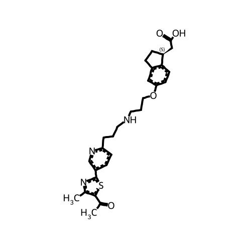 CC(=O)c1sc(-c2ccc(CCCNCCCOc3ccc4c(c3)CC[C@H]4CC(=O)O)nc2)nc1C